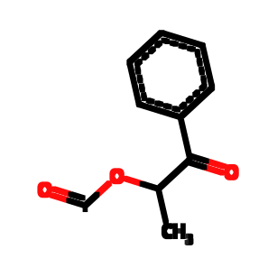 CC(O[C]=O)C(=O)c1ccccc1